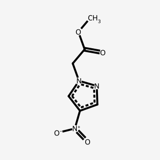 COC(=O)Cn1cc([N+](=O)[O-])cn1